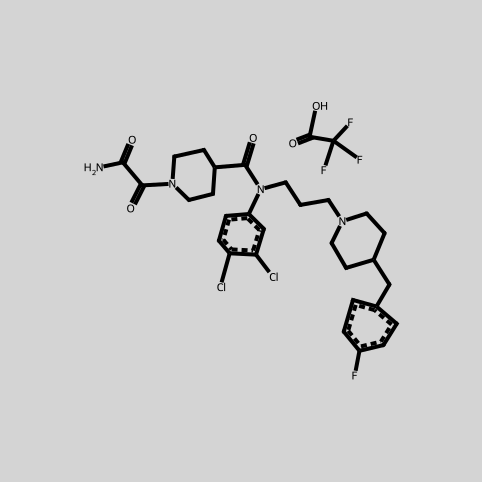 NC(=O)C(=O)N1CCC(C(=O)N(CCCN2CCC(Cc3ccc(F)cc3)CC2)c2ccc(Cl)c(Cl)c2)CC1.O=C(O)C(F)(F)F